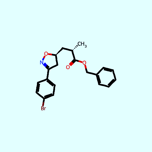 C[C@@H](C[C@H]1CC(c2ccc(Br)cc2)=NO1)C(=O)OCc1ccccc1